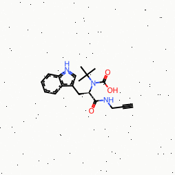 C#CCNC(=O)[C@@H](Cc1c[nH]c2ccccc12)N(C(=O)O)C(C)(C)C